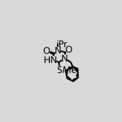 CSC1NC(=O)N(C(C)C)C(=O)N1Cc1ccccc1